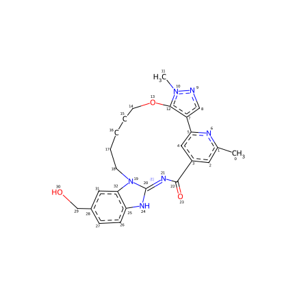 Cc1cc2cc(n1)-c1cnn(C)c1OCCCCCN1/C(=N/C2=O)Nc2ccc(CO)cc21